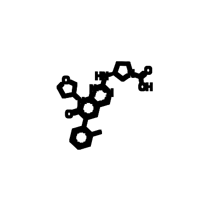 Cc1ccccc1-c1cc2cnc(N[C@H]3CCN(C(=O)O)C3)nc2n(C2CCOC2)c1=O